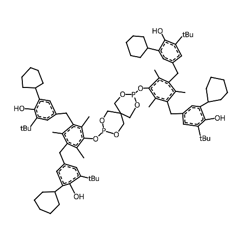 Cc1c(Cc2cc(C3CCCCC3)c(O)c(C(C)(C)C)c2)c(C)c(OP2OCC3(CO2)COP(Oc2c(C)c(Cc4cc(C5CCCCC5)c(O)c(C(C)(C)C)c4)c(C)c(Cc4cc(C5CCCCC5)c(O)c(C(C)(C)C)c4)c2C)OC3)c(C)c1Cc1cc(C2CCCCC2)c(O)c(C(C)(C)C)c1